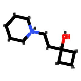 OC1(CCN2CCCCC2)CCC1